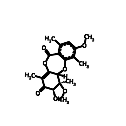 COc1cc(C)c2c(c1C)O[C@H]1C(=C(C)C(=O)[C@H](O)[C@]1(C)OC)OC2=O